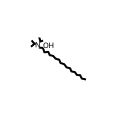 CCCCCCCCCCCCCCCCC(O)CN(C(C)C)C(C)C